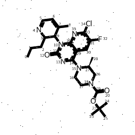 CCCC1N=CC=C(C)C1n1c(=O)nc(N2CCN(C(=O)OC(C)(C)C)C[C@@H]2C)c2cc(F)c(Cl)nc21